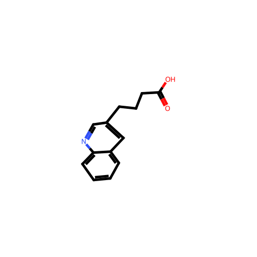 O=C(O)CCCc1cnc2ccccc2c1